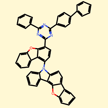 c1ccc(-c2ccc(-c3nc(-c4ccccc4)nc(-c4ccc(-n5c6ccccc6c6c7oc8ccccc8c7ccc65)c5c4oc4ccccc45)n3)cc2)cc1